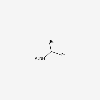 CC(=O)NC(C(C)C)C(C)(C)C